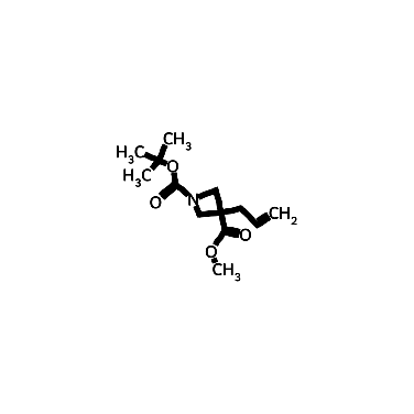 C=CCC1(C(=O)OC)CN(C(=O)OC(C)(C)C)C1